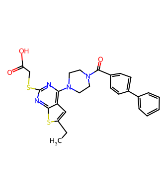 CCc1cc2c(N3CCN(C(=O)c4ccc(-c5ccccc5)cc4)CC3)nc(SCC(=O)O)nc2s1